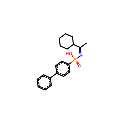 CC(=NP(=O)(O)c1ccc(-c2ccccc2)cc1)C1CCCCC1